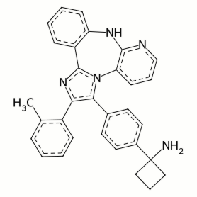 Cc1ccccc1-c1nc2n(c1-c1ccc(C3(N)CCC3)cc1)-c1cccnc1Nc1ccccc1-2